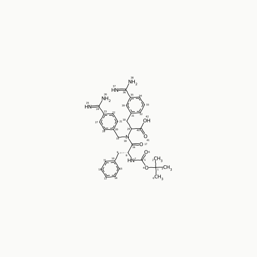 CC(C)(C)OC(=O)N[C@H](Cc1ccccc1)C(=O)N(Cc1ccc(C(=N)N)cc1)C(Cc1cccc(C(=N)N)c1)C(=O)O